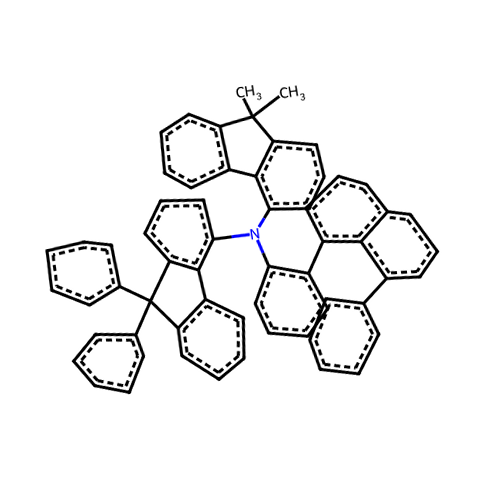 CC1(C)c2ccccc2-c2c(N(c3ccccc3-c3cccc4cccc(-c5ccccc5)c34)c3cccc4c3-c3ccccc3C4(c3ccccc3)c3ccccc3)cccc21